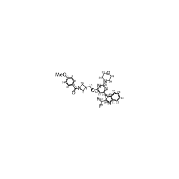 COc1ccc(C(=O)N2CC(COc3cc(-n4c(C(F)F)nc5ccccc54)nc(N4CCOCC4)n3)C2)cc1